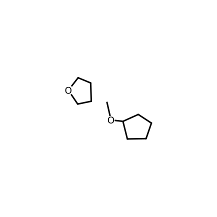 C1CCOC1.COC1CCCC1